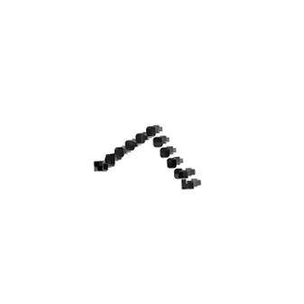 [Al+3].[Ga+3].[La+3].[Nb+5].[O-2].[O-2].[O-2].[O-2].[O-2].[O-2].[O-2]